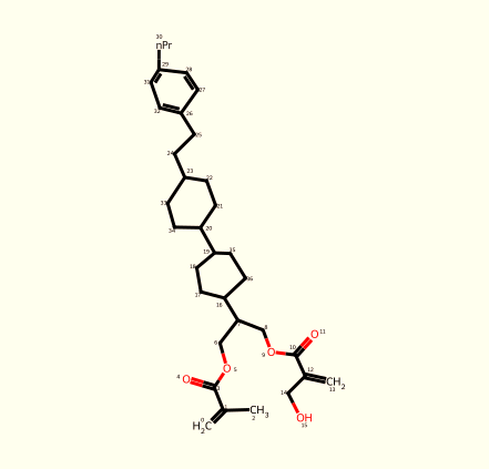 C=C(C)C(=O)OCC(COC(=O)C(=C)CO)C1CCC(C2CCC(CCc3ccc(CCC)cc3)CC2)CC1